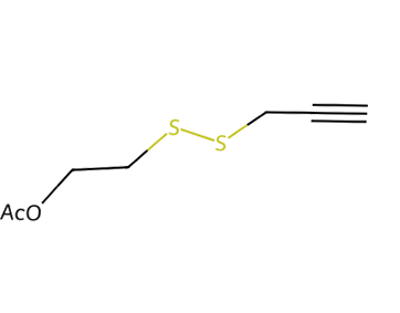 C#CCSSCCOC(C)=O